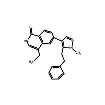 Cn1ncc(-c2ccc3c(=O)[nH]nc(CN)c3c2)c1CCc1ccccc1